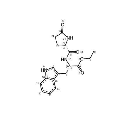 CCOC(=O)[C@H](Cc1c[nH]c2ccccc12)NC(=O)[C@@H]1CCC(=O)N1